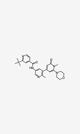 Cc1ncc(NC(=O)c2ccnc(C(C)(C)C)c2)cc1-c1cc(N2CCOCC2)n(C)c(=O)c1